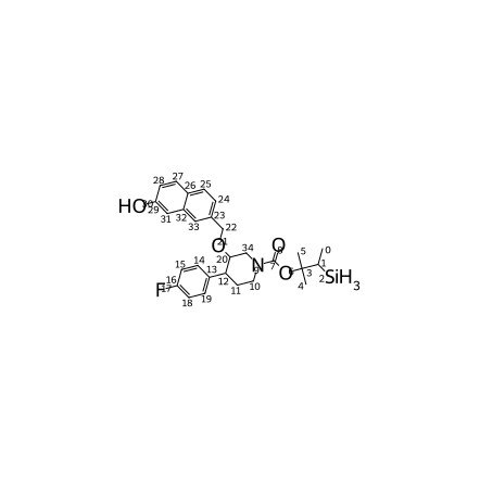 CC([SiH3])C(C)(C)OC(=O)N1CCC(c2ccc(F)cc2)C(OCc2ccc3ccc(O)cc3c2)C1